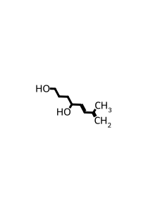 C=C(C)C=CC(O)CCCO